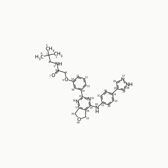 CC(C)(C)CNC(=O)COc1cccc(-c2nc3c(c(Nc4ccc(-c5cn[nH]c5)cc4)n2)COC3)c1